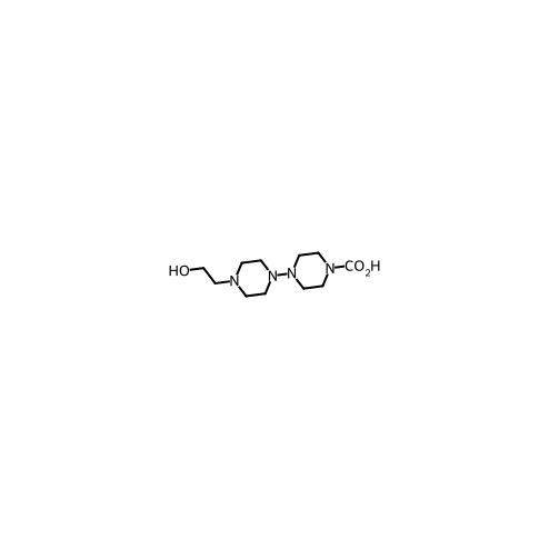 O=C(O)N1CCN(N2CCN(CCO)CC2)CC1